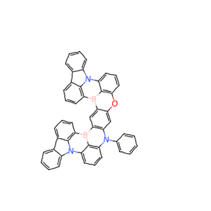 c1ccc(N2c3cc4c(cc3B3c5c2cccc5-n2c5ccccc5c5cccc3c52)B2c3c(cccc3-n3c5ccccc5c5cccc2c53)O4)cc1